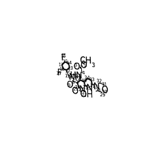 COC(=O)CNc1c(C(=O)NCc2ccc(F)cc2F)c(=O)n(O)c2nc(N3CCOCC3)ccc12